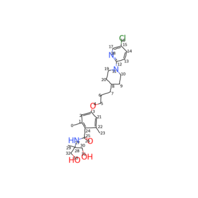 Cc1cc(OCCCC2CCN(c3ccc(Cl)cn3)CC2)cc(C)c1C(=O)NC(C)(CO)CO